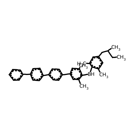 CCC(C)Cc1cc(C)c(Bc2c(C)cc(-c3ccc(-c4ccc(-c5ccccc5)cc4)cc3)cc2C)c(C)c1